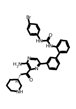 Nc1ncc(-c2cccc(-c3ccccc3NC(=O)Nc3ccc(Br)cc3)c2)nc1C(=O)C[C@H]1CCCNC1